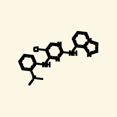 CP(C)c1ccccc1Nc1nc(Nc2cccn3ccnc23)ncc1Cl